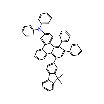 CC1(C)c2ccccc2-c2ccc(-c3cc(-c4ccccc4)c(-c4ccccc4)c4c5ccc(N(c6ccccc6)c6ccccc6)cc5c5ccccc5c34)cc21